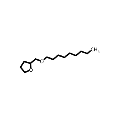 CCCCCCCCCOCC1CCCO1